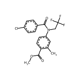 COC(=O)c1ccc(N(CC(F)(F)F)C(=O)c2ccc(Cl)cc2)cc1C